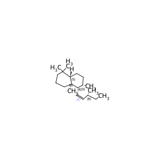 CC[C@@H](C)/C=C\[C@H]1[C@@H](C)CC[C@H]2C(C)(C)CCC[C@]12C